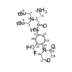 CC(C)(C)CN(CC(C)(C)C)[C@H](CN)C(=O)Nc1ccc(N2CCOCC2=O)c(C(F)F)c1